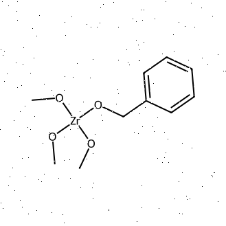 C[O][Zr]([O]C)([O]C)[O]Cc1ccccc1